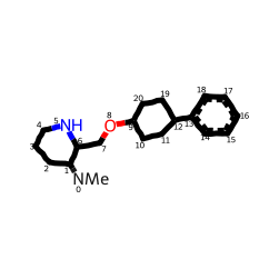 CNC1CCCNC1COC1CCC(c2ccccc2)CC1